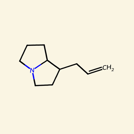 C=CCC1CCN2CCCC12